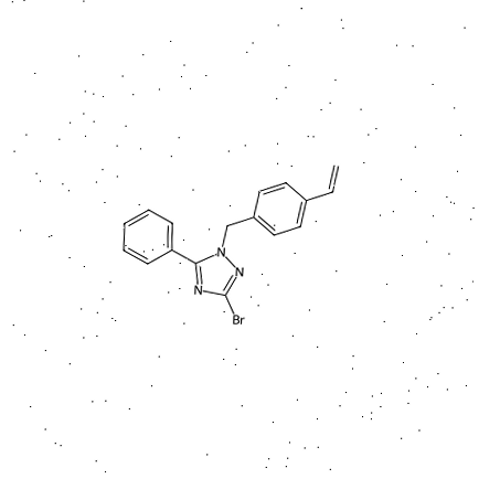 C=Cc1ccc(Cn2nc(Br)nc2-c2ccccc2)cc1